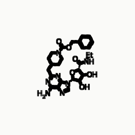 CCNC(=O)[C@H]1O[C@@H](n2cnc3c(N)nc(CC4CCN(C(=O)OCc5ccccc5)CC4)nc32)C(O)C1O